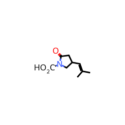 CC(C)=CC1CC(=O)N(C(=O)O)C1